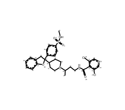 CNS(=O)(=O)c1ccc(C2(C3CCN(C(C)CCNC(=O)c4c(Cl)cncc4Cl)CC3)Cc3ccccc3O2)cc1